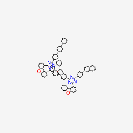 C1=Cc2c(oc3cccc(-c4nc(-c5ccc(-c6ccc7ccccc7c6)cc5)nc(-c5ccc6ccc(-c7ccccc7-c7ccc(-c8cccc9oc%10cccc(-c%11nc(-c%12ccccc%12)nc(-c%12ccc(-c%13ccc(-c%14ccccc%14)cc%13)cc%12)n%11)c%10c89)cc7)cc6c5)n4)c23)CC1